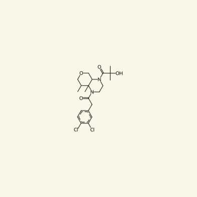 CC1COCC2N(C(=O)C(C)(C)O)CCN(C(=O)Cc3ccc(Cl)c(Cl)c3)C12C